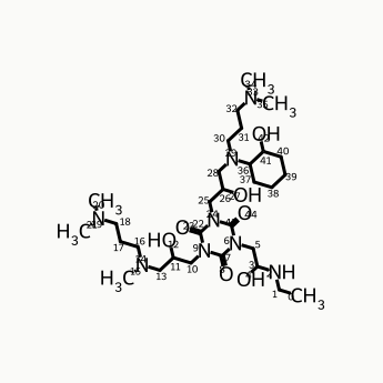 CCNC(O)Cn1c(=O)n(CC(O)CN(C)CCCN(C)C)c(=O)n(CC(O)CN(CCCN(C)C)C2CCCCC2O)c1=O